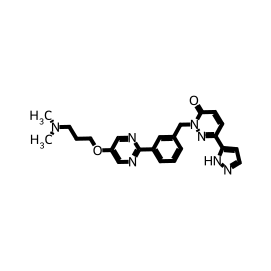 CN(C)CCCOc1cnc(-c2cccc(Cn3nc(-c4ccn[nH]4)ccc3=O)c2)nc1